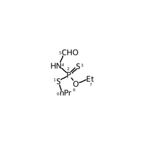 CCCSP(=S)(NC=O)OCC